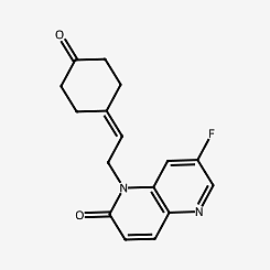 O=C1CCC(=CCn2c(=O)ccc3ncc(F)cc32)CC1